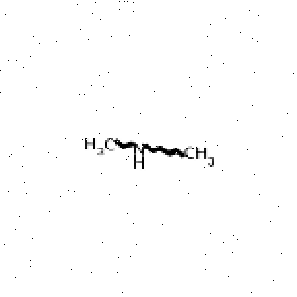 CCC=CCCCNCCCC